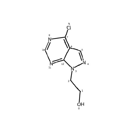 OCCn1ncc2c(Cl)ncnc21